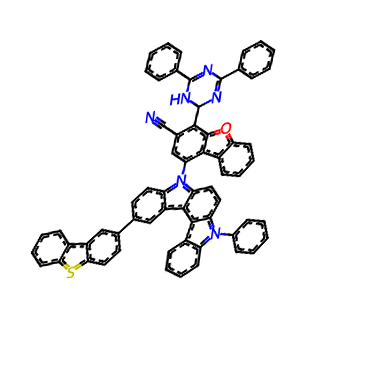 N#Cc1cc(-n2c3ccc(-c4ccc5sc6ccccc6c5c4)cc3c3c4c5ccccc5n(-c5ccccc5)c4ccc32)c2c(oc3ccccc32)c1C1N=C(c2ccccc2)N=C(c2ccccc2)N1